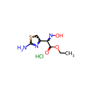 CCOC(=O)C(=NO)c1csc(N)n1.Cl